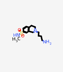 CNS(=O)(=O)c1ccc2c(c1)CN(CCCCN)CC2